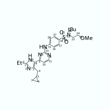 CCc1nc(CC2CC2)c(-c2ccnc(Nc3ccc(S(=O)(=O)N(CCOC)C(C)(C)C)cc3)n2)[nH]1